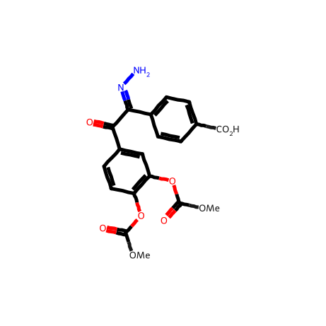 COC(=O)Oc1ccc(C(=O)/C(=N/N)c2ccc(C(=O)O)cc2)cc1OC(=O)OC